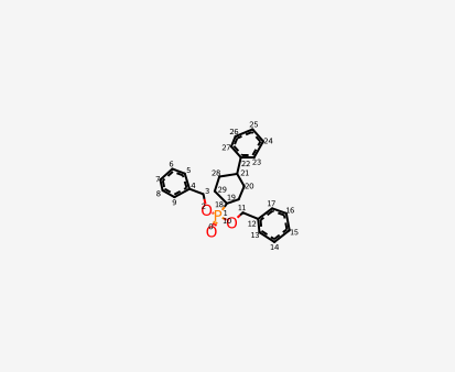 O=P(OCc1ccccc1)(OCc1ccccc1)C1CCC(c2ccccc2)CC1